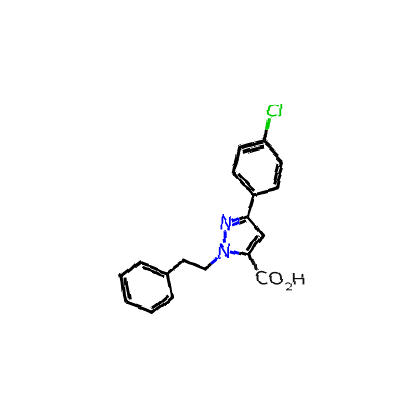 O=C(O)c1cc(-c2ccc(Cl)cc2)nn1CCc1ccccc1